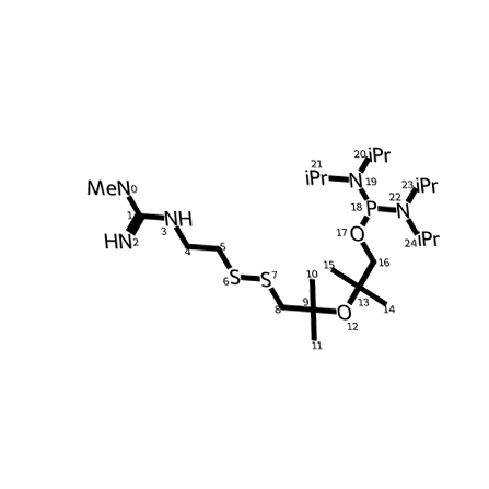 CNC(=N)NCCSSCC(C)(C)OC(C)(C)COP(N(C(C)C)C(C)C)N(C(C)C)C(C)C